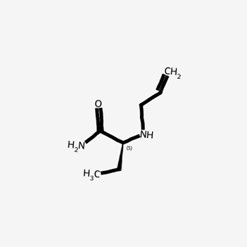 C=CCN[C@@H](CC)C(N)=O